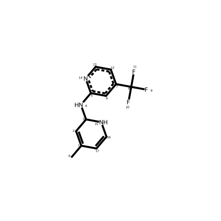 CC1=CC(Nc2cc(C(F)(F)F)ccn2)N[C]=C1